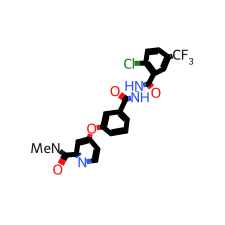 CNC(=O)c1cc(Oc2cccc(C(=O)NNC(=O)c3cc(C(F)(F)F)ccc3Cl)c2)ccn1